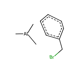 BrCc1ccccc1.[CH3][Al]([CH3])[CH3]